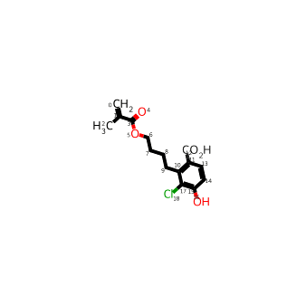 C=C(C)C(=O)OCCCCc1c(C(=O)O)ccc(O)c1Cl